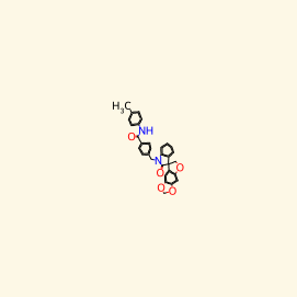 Cc1ccc(NC(=O)c2ccc(CN3C(=O)C4(COc5cc6c(cc54)OCO6)c4ccccc43)cc2)cc1